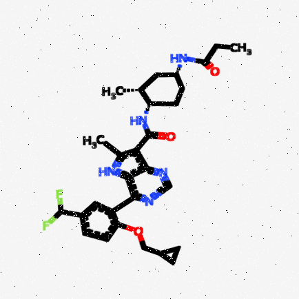 CCC(=O)N[C@@H]1CC[C@H](NC(=O)c2c(C)[nH]c3c(-c4cc(C(F)F)ccc4OCC4CC4)ncnc23)[C@H](C)C1